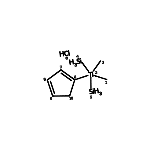 Cl.[CH3][Ti]([CH3])([SiH3])([SiH3])[C]1=CC=CC1